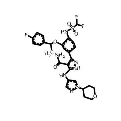 CC(Oc1cc(-c2n[nH]c(Nc3cnn(C4CCOCC4)c3)c2C(N)=O)ccc1NS(=O)(=O)C(F)F)c1ccc(F)cc1